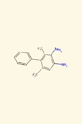 Nc1cc(C(F)(F)F)c(-c2ccccc2)c(C(F)(F)F)c1N